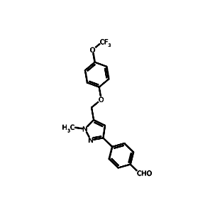 Cn1nc(-c2ccc(C=O)cc2)cc1COc1ccc(OC(F)(F)F)cc1